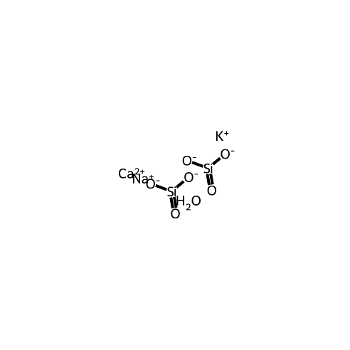 O.O=[Si]([O-])[O-].O=[Si]([O-])[O-].[Ca+2].[K+].[Na+]